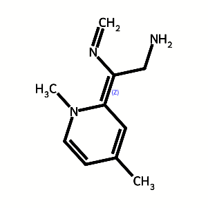 C=N/C(CN)=C1/C=C(C)C=CN1C